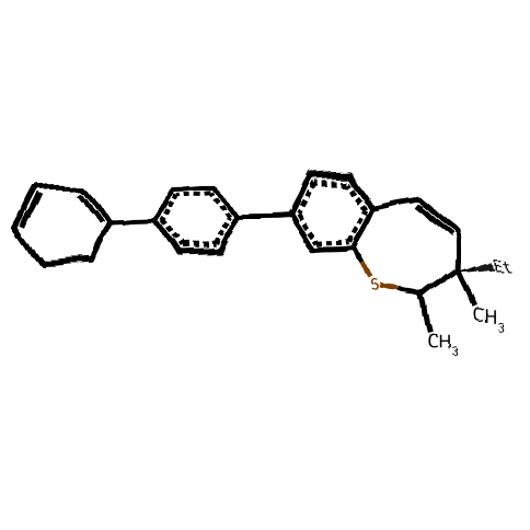 CC[C@]1(C)C=Cc2ccc(-c3ccc(C4=CC=CCC4)cc3)cc2SC1C